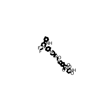 C[C@@H]1Cc2c([nH]c3ccccc23)[C@@H](c2ccc(N3CCC4(CC3)CN(C(=O)CN3Cc5cc6c(cc5C3)C(=O)N(C3CCC(=O)NC3=O)C6=O)C4)cc2)N1CC(F)F